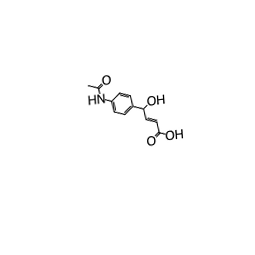 CC(=O)Nc1ccc(C(O)C=CC(=O)O)cc1